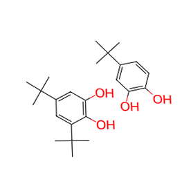 CC(C)(C)c1cc(O)c(O)c(C(C)(C)C)c1.CC(C)(C)c1ccc(O)c(O)c1